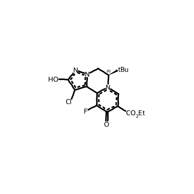 CCOC(=O)c1cn2c(c(F)c1=O)-c1c(Cl)c(O)nn1C[C@H]2C(C)(C)C